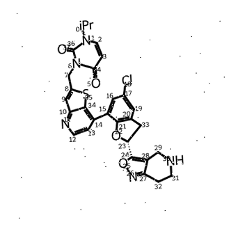 CC(C)n1ccc(=O)n(Cc2cc3nccc(-c4cc(Cl)cc5c4O[C@@H](c4onc6c4CNCC6)C5)c3s2)c1=O